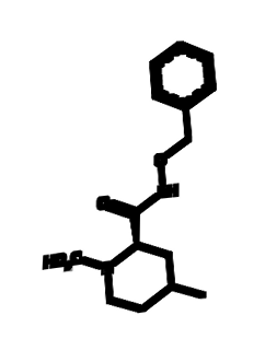 CC1CCN(C(=O)O)[C@@H](C(=O)NOCc2ccccc2)C1